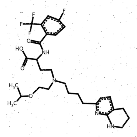 CC(C)OCCN(CCCCc1ccc2c(n1)NCCC2)CCC(NC(=O)c1ccc(F)cc1C(F)(F)F)C(=O)O